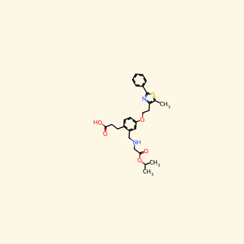 Cc1sc(-c2ccccc2)nc1CCOc1ccc(CCC(=O)O)c(CNCC(=O)OC(C)C)c1